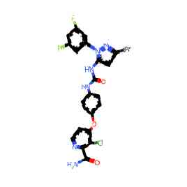 CC(C)c1cc(NC(=O)Nc2ccc(Oc3ccnc(C(N)=O)c3Cl)cc2)n(-c2cc(F)cc(F)c2)n1